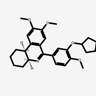 COc1cc2c(cc1OC)[C@@H]1CCCC[C@@H]1N=C2c1ccc(OC)c(OC2CCCC2)c1